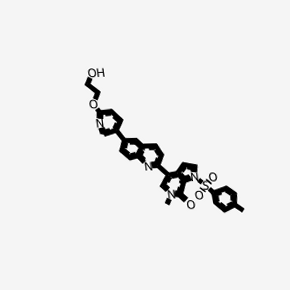 Cc1ccc(S(=O)(=O)n2ccc3c(-c4ccc5cc(-c6ccc(OCCO)nc6)ccc5n4)cn(C)c(=O)c32)cc1